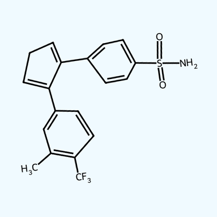 Cc1cc(C2=CCC=C2c2ccc(S(N)(=O)=O)cc2)ccc1C(F)(F)F